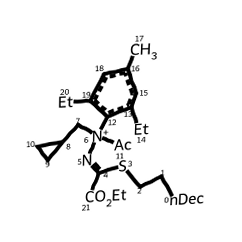 CCCCCCCCCCCCSC(=N[N+](CC1CC1)(C(C)=O)c1c(CC)cc(C)cc1CC)C(=O)OCC